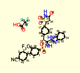 N#Cc1ccc(-c2ccc(S(=O)(=O)N[C@@H](Cc3ccc(C4CC(=O)NS4(=O)=O)cc3)c3nc4ccccc4[nH]3)cc2C(F)(F)F)cc1.O=C(O)C(F)(F)F